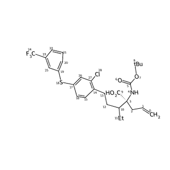 C=CC[C@@](NC(=O)OC(C)(C)C)(C(=O)O)C(CC)CCc1ccc(Sc2cccc(C(F)(F)F)c2)cc1Cl